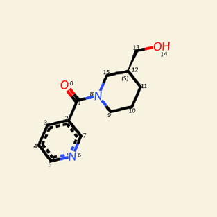 O=C(c1cccnc1)N1CCC[C@H](CO)C1